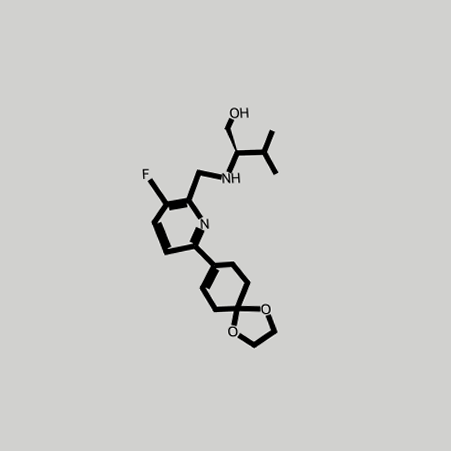 CC(C)[C@H](CO)NCc1nc(C2=CCC3(CC2)OCCO3)ccc1F